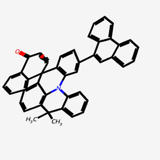 CC1(C)c2ccccc2N2c3cc(-c4cc5ccccc5c5ccccc45)ccc3C3(c4ccccc4C(=O)c4ccccc43)c3cccc1c32